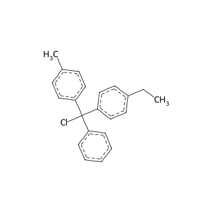 CCc1ccc(C(Cl)(c2ccccc2)c2ccc(C)cc2)cc1